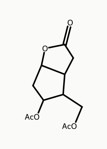 CC(=O)OCC1C(OC(C)=O)CC2OC(=O)CC21